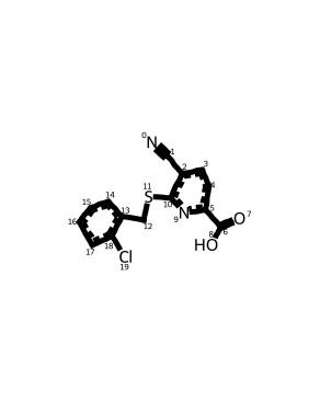 N#Cc1ccc(C(=O)O)nc1SCc1ccccc1Cl